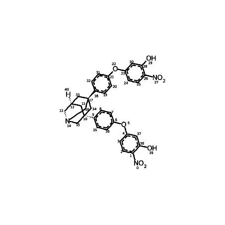 O=[N+]([O-])c1ccc(Oc2ccc([C@@]34C[C@H]5C[N@@](C3)C[C@](c3ccc(Oc6ccc([N+](=O)[O-])c(O)c6)cc3)(C5)C4)cc2)cc1O